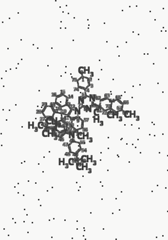 CC1C=CC(c2nc(-n3c4c(c5c3-c3ccccc3C53c5ccccc5-c5ccccc53)CC(C)(N(c3ccc(C(C)(C)C)cc3)C3C=CC(C(C)(C)C)=CC3)C=C4)nc(C3(C)C=CC4C=CC(C)CC4(C)C3)n2)=CC1